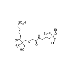 CCO[Si](CCCNC(=O)CSCC(C)(CO)C(=O)OCCCS(=O)(=O)O)(OCC)OCC